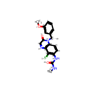 C[C@@H](c1cccc(OC(F)(F)F)c1)n1c(=O)cnc2c(F)c(NC(=O)NC(C)(C)C)ccc21